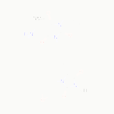 CN/C(N)=C1\C(=O)N(CC2CC2)C(=O)N(C2CCC3(CC2)CC2(C3)C(=O)N(C)C(=O)N2CC2COC2)C1=O